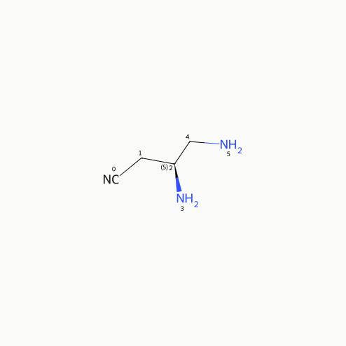 N#CC[C@H](N)CN